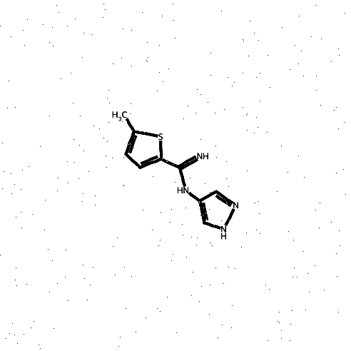 Cc1ccc(C(=N)Nc2cn[nH]c2)s1